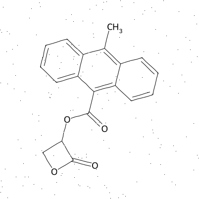 Cc1c2ccccc2c(C(=O)OC2COC2=O)c2ccccc12